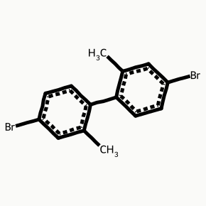 Cc1cc(Br)ccc1-c1ccc(Br)cc1C